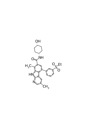 CCS(=O)(=O)c1cccc(-c2cc(C(=O)N[C@H]3CC[C@@H](O)CC3)c(C)c3[nH]c4ncc(C)cc4c23)c1